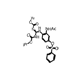 CC(=O)Nc1cc(OS(=O)(=O)c2ccccc2)ccc1N/C(=N\C(=O)OC(C)C)NC(=O)OC(C)C